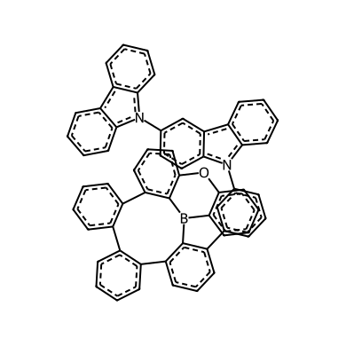 c1cc(-c2cccc3c2B2c4ccccc4Oc4cccc(c42)-c2ccccc2-c2ccccc2-3)cc(-n2c3ccccc3c3cc(-n4c5ccccc5c5ccccc54)ccc32)c1